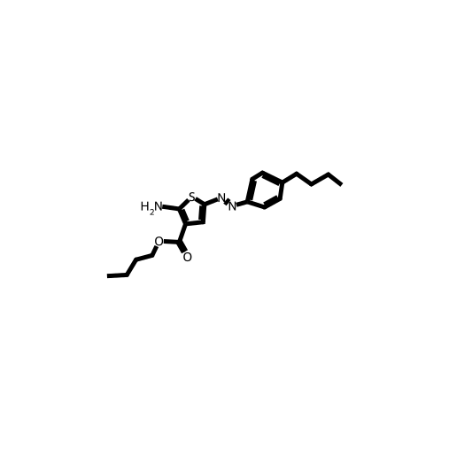 CCCCOC(=O)c1cc(N=Nc2ccc(CCCC)cc2)sc1N